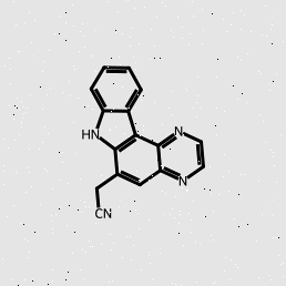 N#CCc1cc2nccnc2c2c1[nH]c1ccccc12